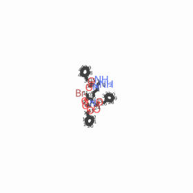 N=C(N)N(CCC[C@@H](C(=O)CBr)N(C(=O)OCc1ccccc1)C(=O)OCc1ccccc1)C(=O)OCc1ccccc1